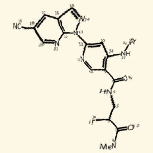 CNC(=O)C(F)CNC(=O)c1cnc(-n2ncc3cc(C#N)cnc32)cc1NC(C)C